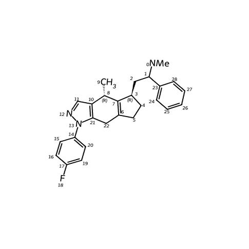 CNC(C[C@H]1CCC2=C1[C@@H](C)c1cnn(-c3ccc(F)cc3)c1C2)c1ccccc1